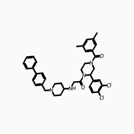 Cc1cc(C)cc(C(=O)N2CCN(C(=O)CNC3CCN(Cc4ccc(-c5ccccc5)cc4)CC3)C(c3ccc(Cl)c(Cl)c3)C2)c1